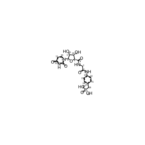 O=C(CNC(=O)[C@H]1O[C@@H](n2ccc(=O)[nH]c2=O)[C@@H](O)[C@H]1O)Nc1ccc(CP(=O)(O)O)cc1